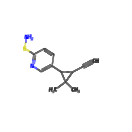 C#CC1C(c2ccc(SN)nc2)C1(C)C